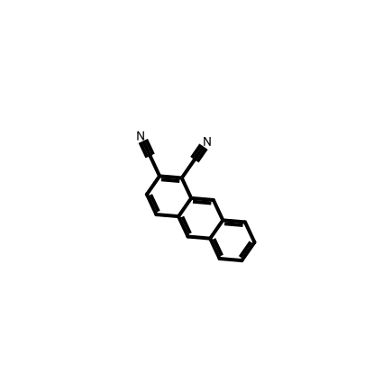 N#Cc1ccc2cc3ccccc3cc2c1C#N